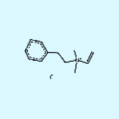 C=C[N+](C)(C)CCc1ccccc1.[Cl-]